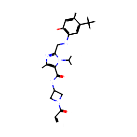 C=CC(=O)N1CC(NC(=O)c2c(C)nc(CNc3cc(C(C)(C)C)c(C)cc3O)n2C(C)C)C1